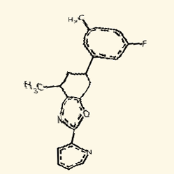 Cc1cc(F)cc(C2Cc3oc(-c4ccccn4)nc3C(C)C2)c1